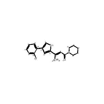 C/C(=C\C(=O)N1CCCCC1)c1cc(-c2ccccc2F)cs1